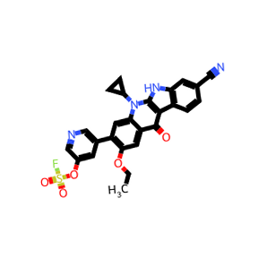 CCOc1cc2c(=O)c3c4ccc(C#N)cc4[nH]c3n(C3CC3)c2cc1-c1cncc(OS(=O)(=O)F)c1